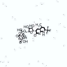 Cc1cc(C(F)(F)F)[nH]c2nc(=O)c([C@@H]3O[C@H](COP(=O)(O)OP(=O)(O)OP(=O)(O)O)[C@H](O)C3O)cc1-2